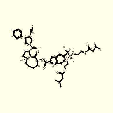 CC(C)CC(=O)SCCOP(=O)(OCCSC(=O)CC(C)C)C(F)(F)c1ccc2sc(C(=O)N[C@H]3CCCC[C@H]4CC[C@@H](C(=O)N5C[C@H](c6ccccc6)[C@@H](C#N)C5)N4C3=O)cc2c1